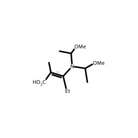 CC/C(=C(/C)C(=O)O)N(C(C)OC)C(C)OC